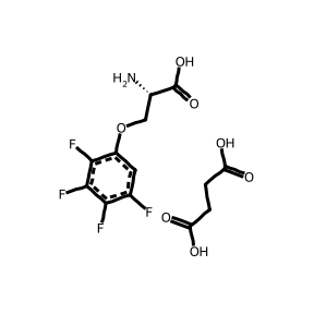 N[C@@H](COc1cc(F)c(F)c(F)c1F)C(=O)O.O=C(O)CCC(=O)O